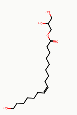 O=C(CCCCCCC/C=C\CCCCCCO)OCC(O)CO